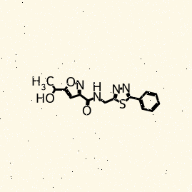 CC(O)c1cc(C(=O)NCc2nnc(-c3ccccc3)s2)no1